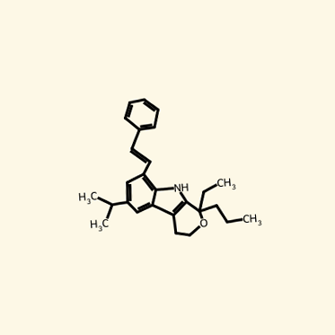 CCCC1(CC)OCCc2c1[nH]c1c(/C=C/c3ccccc3)cc(C(C)C)cc21